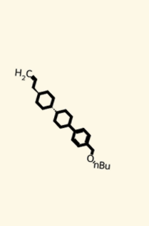 C=CC[C@H]1CC[C@H](C2CCC(c3ccc(COCCCC)cc3)CC2)CC1